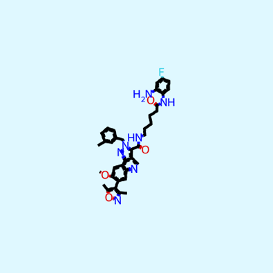 COc1cc2c(cc1-c1c(C)noc1C)ncc1c(C(=O)NCCCCCC(=O)Nc3ccc(F)cc3N)n(Cc3cccc(C)c3)nc12